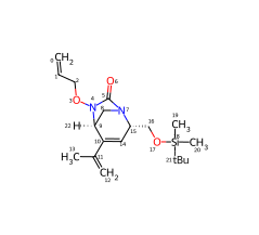 C=CCON1C(=O)N2C[C@H]1C(C(=C)C)=C[C@H]2CO[Si](C)(C)C(C)(C)C